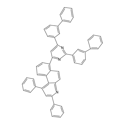 c1ccc(-c2cccc(-c3cc(-c4cccc5c4ccc4nc(-c6ccccc6)cc(-c6ccccc6)c45)nc(-c4cccc(-c5ccccc5)c4)n3)c2)cc1